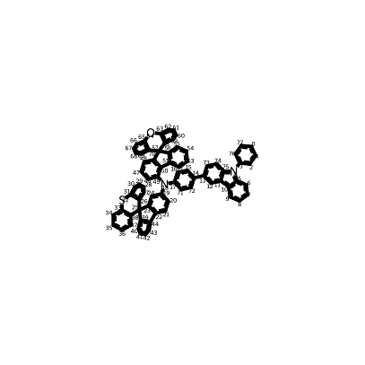 c1ccc(-n2c3ccccc3c3cc(-c4ccc(N(c5ccc6c(c5)C5(c7ccccc7Sc7ccccc75)c5ccccc5-6)c5cccc6c5-c5ccccc5C65c6ccccc6Oc6ccccc65)cc4)ccc32)cc1